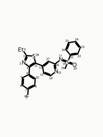 CCc1nc(-c2ccc(F)cc2)c(-c2ccnc(N=S(C)(=O)c3ccccc3)c2)s1